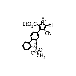 CCOC(=O)c1c(-c2ccc(-c3ccccc3NS(C)(=O)=O)cc2)c(C#N)c(CC)n1CC